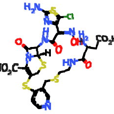 Nc1nc(/C(=N/O)C(=O)N[C@@H]2C(=O)N3C(C(=O)O)=C(Sc4ccncc4CSCCNC(=O)[C@@H](N)CC(=O)O)CS[C@@H]23)c(Cl)s1